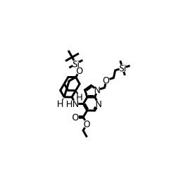 CCOC(=O)c1cnc2c(ccn2COCC[Si](C)(C)C)c1NC1[C@@H]2CC3C[C@H]1CC(O[Si](C)(C)C(C)(C)C)(C3)C2